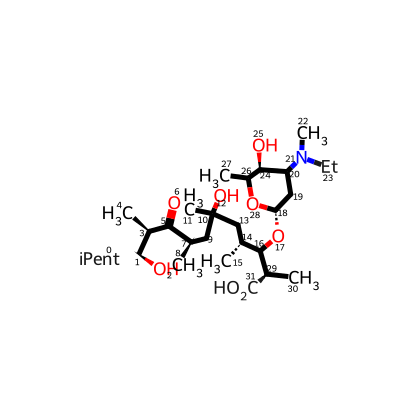 CCC[C@H](C)[C@H](O)[C@@H](C)C(=O)[C@H](C)CC(C)(O)C[C@@H](C)C(O[C@H]1CC(N(C)CC)[C@H](O)C(C)O1)[C@@H](C)C(=O)O